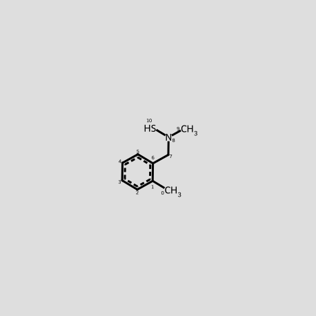 Cc1ccccc1CN(C)S